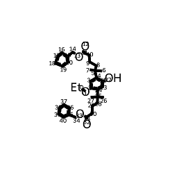 CCOc1cc(C(C)(C)CCCC(=O)OCc2ccccc2)c(O)cc1C(C)(C)CCCC(=O)OCc1ccccc1